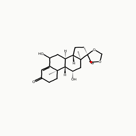 C[C@]12CCC(=O)C=C1C(O)C[C@@H]1[C@@H]2[C@@H](O)C[C@@]2(C)[C@H]1CC[C@@]21OCOC12COCO2